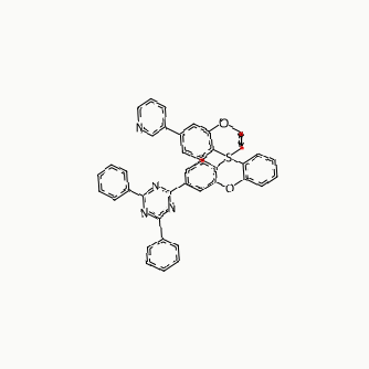 c1ccc(-c2nc(-c3ccccc3)nc(-c3ccc4c(c3)Oc3ccccc3S43c4ccccc4Oc4cc(-c5cccnc5)ccc43)n2)cc1